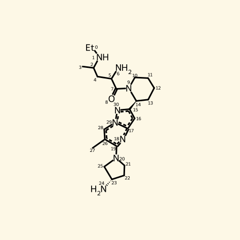 CCNC(C)CC(N)C(=O)N1CCCC[C@H]1c1cc2nc(N3CC[C@H](N)C3)c(C)cn2n1